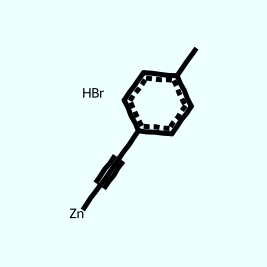 Br.Cc1ccc(C#[C][Zn])cc1